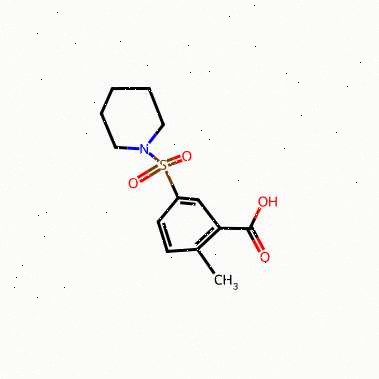 Cc1ccc(S(=O)(=O)N2CCCCC2)cc1C(=O)O